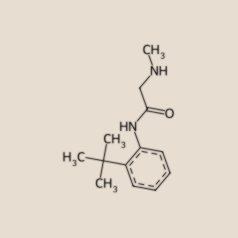 CNCC(=O)Nc1ccccc1C(C)(C)C